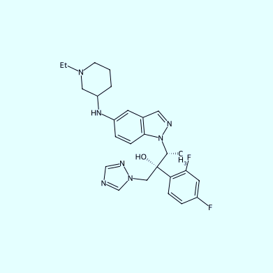 CCN1CCCC(Nc2ccc3c(cnn3[C@H](C)[C@](O)(Cn3cncn3)c3ccc(F)cc3F)c2)C1